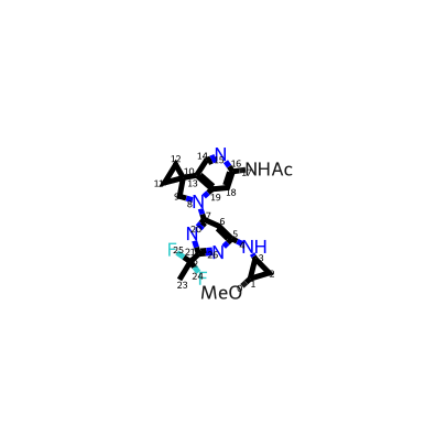 COC1CC1Nc1cc(N2CC3(CC3)c3cnc(NC(C)=O)cc32)nc(C(C)(F)F)n1